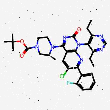 CCc1ncnc(CC)c1-n1c(=O)nc(N2CCN(C(=O)OC(C)(C)C)C[C@@H]2C)c2cc(Cl)c(-c3ccccc3F)nc21